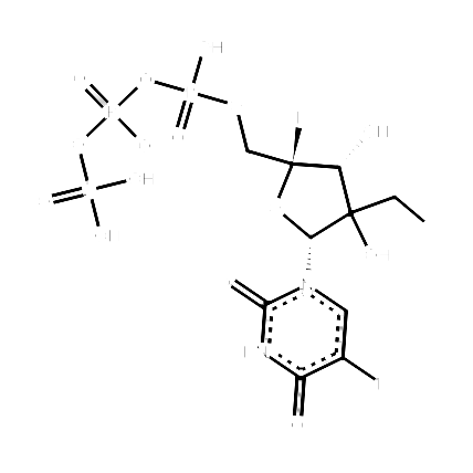 O=c1[nH]c(=S)n([C@@H]2O[C@](F)(COP(=O)(O)OP(=O)(O)OP(=O)(O)O)[C@H](O)C2(O)CF)cc1F